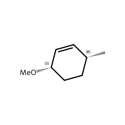 CO[C@@H]1C=C[C@H](C)CC1